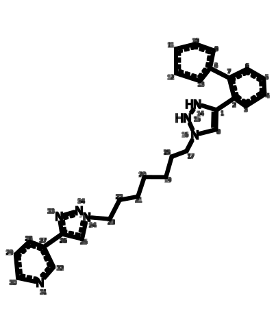 C1=C(c2ccccc2-c2ccccc2)NNN1CCCCCCCn1cc(-c2cccnc2)nn1